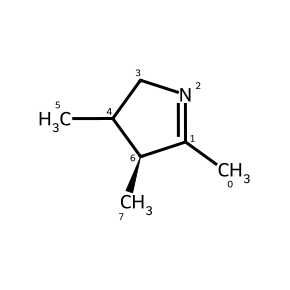 CC1=NCC(C)[C@@H]1C